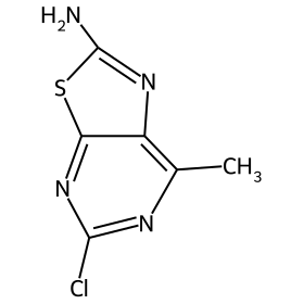 Cc1nc(Cl)nc2sc(N)nc12